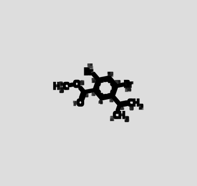 C=C(C)c1cc(C(=O)OC)c(Br)cc1Br